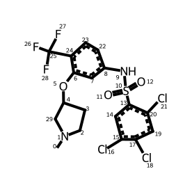 CN1CCC(Oc2cc(NS(=O)(=O)c3cc(Cl)c(Cl)cc3Cl)ccc2C(F)(F)F)C1